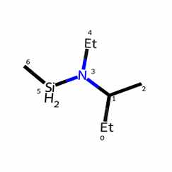 CCC(C)N(CC)[SiH2]C